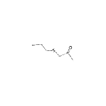 CCCSCC(C)=O